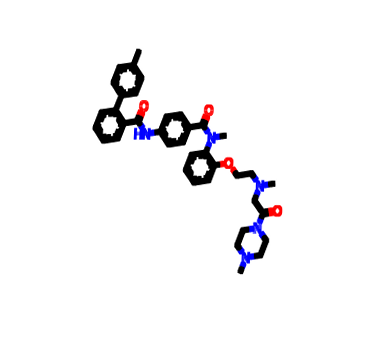 Cc1ccc(-c2ccccc2C(=O)Nc2ccc(C(=O)N(C)c3ccccc3OCCN(C)CC(=O)N3CCN(C)CC3)cc2)cc1